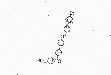 CCc1cnc(N2CCC(COc3ccc(C4=CCC(C(=O)N5CCC(CO)CC5)CC4)cc3)CC2)nc1